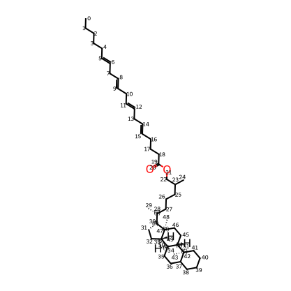 CCCCCC=CCC=CCC=CCC=CCCCC(=O)OCC(C)CCC[C@@H](C)[C@H]1CC[C@H]2[C@@H]3CCC4CCCC[C@]4(C)[C@H]3CC[C@]12C